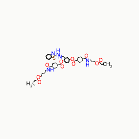 C=CC(=O)OCCCCNC(=O)C1CCC(C(=O)Oc2ccc(OC(=O)C3CCC(C(=O)NCCCOC(=O)C=C)CC3)cc2/C=N/Nc2nc3ccccc3s2)CC1